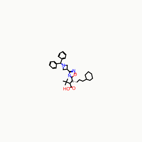 CC(C)(C)C(C(=O)O)[C@@H](CCCC1CCCCC1)c1nc(C2CN(C(c3ccccc3)c3ccccc3)C2)no1